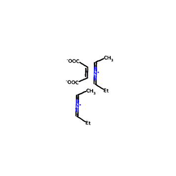 CC=[N+]=CCC.CC=[N+]=CCC.O=C([O-])/C=C\C(=O)[O-]